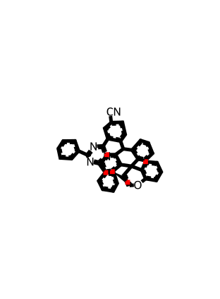 N#Cc1ccc(C2c3ccccc3C3(c4ccccc4Oc4ccccc43)c3ccccc32)c(-c2nc(-c3ccccc3)nc(-c3ccccc3)n2)c1